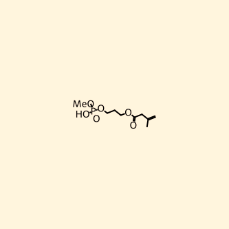 C=C(C)CC(=O)OCCCOP(=O)(O)OC